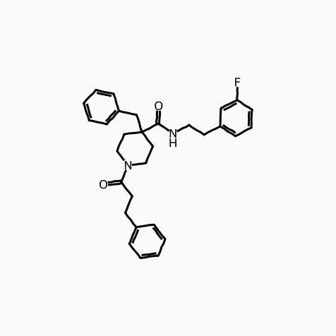 O=C(CCc1ccccc1)N1CCC(Cc2ccccc2)(C(=O)NCCc2cccc(F)c2)CC1